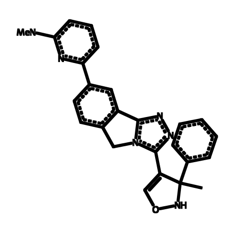 CNc1cccc(-c2ccc3c(c2)-c2nnc(C4=CONC4(C)c4ccccc4)n2C3)n1